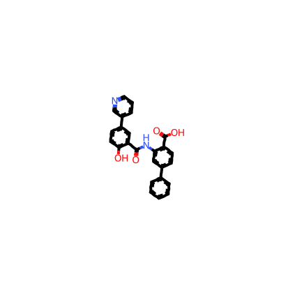 O=C(Nc1cc(-c2ccccc2)ccc1C(=O)O)c1cc(-c2cccnc2)ccc1O